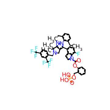 CCc1cccc(CC)c1-n1nc2c(c1-c1ccc(F)c3c1ccn3C(=O)Oc1ccccc1COP(=O)(O)O)CN(Cc1ccc(C(F)(F)F)cc1C(F)(F)F)C2(C)C